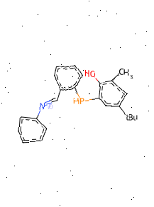 Cc1cc(C(C)(C)C)cc(Pc2ccccc2/C=N/c2ccccc2)c1O